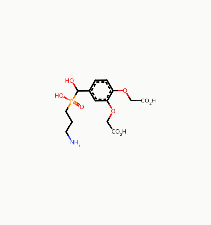 NCCCP(=O)(O)C(O)c1ccc(OCC(=O)O)c(OCC(=O)O)c1